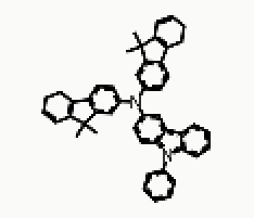 CC1(C)C2=C(CCC=C2)c2ccc(N(c3ccc4c(c3)C(C)(C)C3=C4CCC=C3)c3ccc4c(c3)c3ccccc3n4-c3ccccc3)cc21